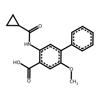 COc1cc(C(=O)O)c(NC(=O)C2CC2)cc1-c1ccccc1